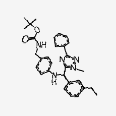 CCc1cccc(C(Nc2ccc(CNC(=O)OC(C)(C)C)cc2)c2nc(-c3ccccc3)nn2C)c1